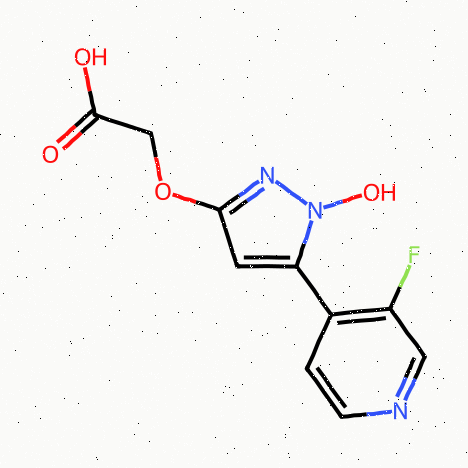 O=C(O)COc1cc(-c2ccncc2F)n(O)n1